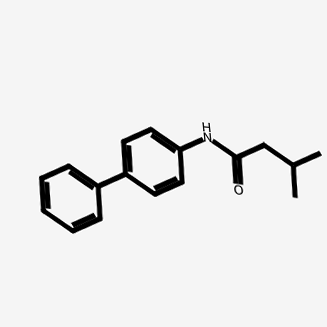 CC(C)[CH]C(=O)Nc1ccc(-c2ccccc2)cc1